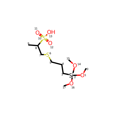 CO[Si](CCCSCC(C)S(=O)(=O)O)(OC)OC